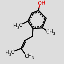 CC(C)=CCc1c(C)cc(O)cc1C